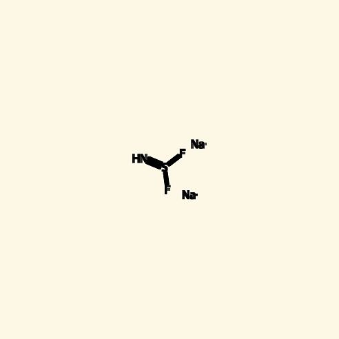 N=S(F)F.[Na].[Na]